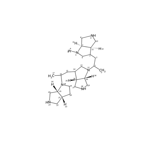 CC(CC1CN(C(C)C)[C@H]2CNC[C@@H]12)N1CC(CC(C)N2CC[C@@H]3CNC[C@@H]32)[C@H]2CNC[C@H]21